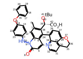 Cc1cc2c(ccc(=O)n2Nc2ccc(Oc3ccccc3)cc2)c(-c2ccc3c4c(ccnc24)CCO3)c1[C@H](OC(C)(C)C)C(=O)O